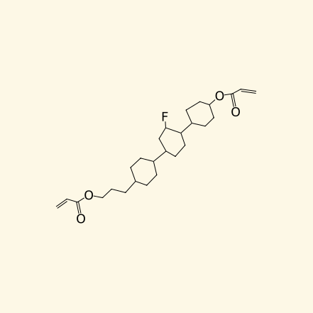 C=CC(=O)OCCCC1CCC(C2CCC(C3CCC(OC(=O)C=C)CC3)C(F)C2)CC1